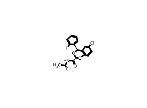 CC(C)NC(=O)[C@H]1Oc2ccc(Cl)cc2[C@H](c2ccccc2F)O1